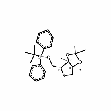 CC1(C)O[C@H]2[C@H](CS[C@@H]2CO[Si](c2ccccc2)(c2ccccc2)C(C)(C)C)O1